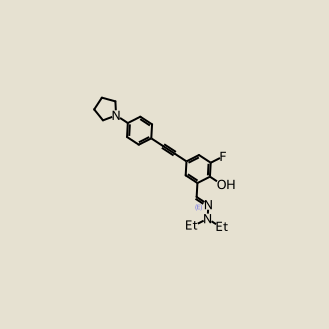 CCN(CC)/N=C/c1cc(C#Cc2ccc(N3CCCC3)cc2)cc(F)c1O